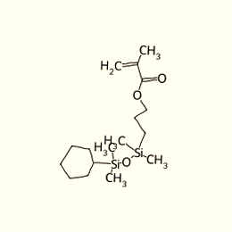 C=C(C)C(=O)OCCC[Si](C)(C)O[Si](C)(C)C1CCCCC1